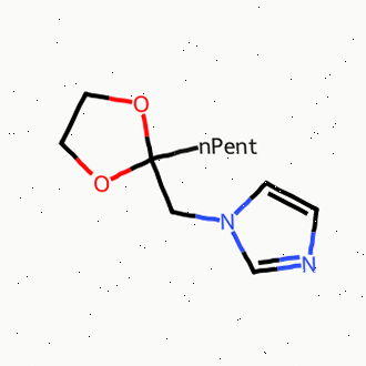 CCCCCC1(Cn2ccnc2)OCCO1